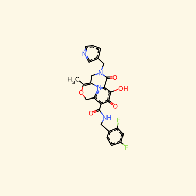 CC1=C2CN(Cc3cccnc3)C(=O)c3c(O)c(=O)c(C(=O)NCc4ccc(F)cc4F)c(n32)CO1